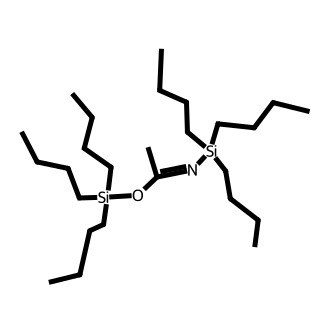 CCCC[Si](CCCC)(CCCC)N=C(C)O[Si](CCCC)(CCCC)CCCC